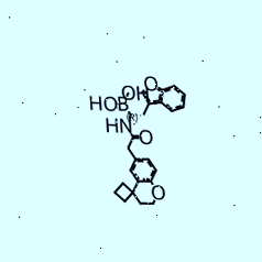 O=C(Cc1ccc2c(c1)C1(CCC1)CCO2)N[C@@H](Cc1coc2ccccc12)B(O)O